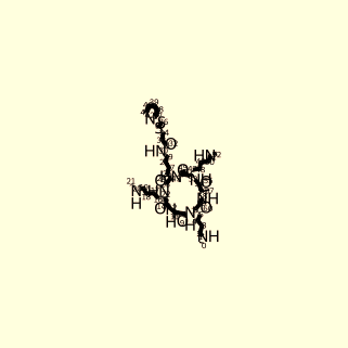 CNCCCC[C@@H]1NC(=O)[C@@H](C)NC(=O)[C@H](CCCCNC)NC(=O)[C@@H](CCCCNC(=O)CCSSc2ccccn2)NC(=O)[C@H](CCCCNC)NC(=O)[C@@H](C)NC1=O